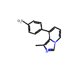 Cc1ncn2cccc(-c3ccc([N+](=O)[O-])cc3)c12